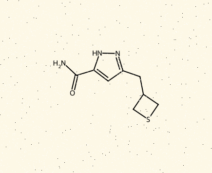 NC(=O)c1cc(CC2CSC2)n[nH]1